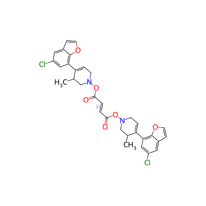 CC1CN(OC(=O)/C=C/C(=O)ON2CC=C(c3cc(Cl)cc4ccoc34)C(C)C2)CC=C1c1cc(Cl)cc2ccoc12